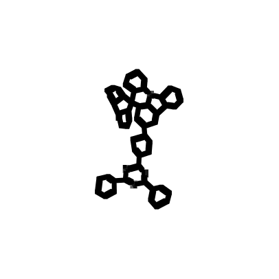 c1ccc(-c2nc(-c3ccccc3)nc(-c3ccc(-c4cc5c6c(c4)c4ccccc4n6-c4ccccc4C54c5ccccc5-c5ccccc54)cc3)n2)cc1